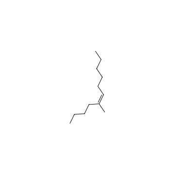 CCCCCC=C(C)CCCC